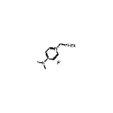 CCCCCCC[n+]1ccc(N(C)C)cc1.[F-]